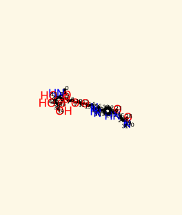 CC(=O)N[C@H]1C(OCCOCCOCCn2cc(-c3ccc(C(=O)NCCC(=O)N(C)C)cc3)nn2)O[C@H](CO)[C@@H](O)[C@@H]1O